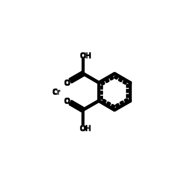 O=C(O)c1ccccc1C(=O)O.[Cr]